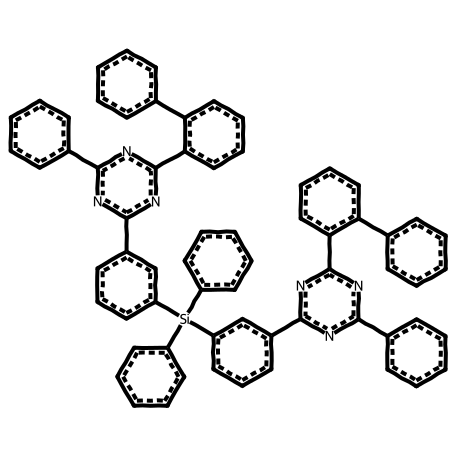 c1ccc(-c2nc(-c3cccc([Si](c4ccccc4)(c4ccccc4)c4cccc(-c5nc(-c6ccccc6)nc(-c6ccccc6-c6ccccc6)n5)c4)c3)nc(-c3ccccc3-c3ccccc3)n2)cc1